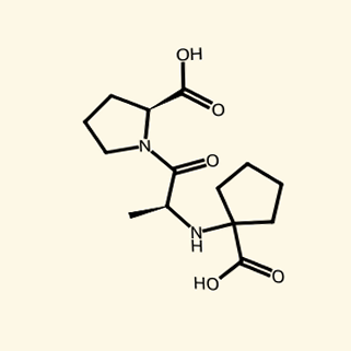 C[C@H](NC1(C(=O)O)CCCC1)C(=O)N1CCC[C@H]1C(=O)O